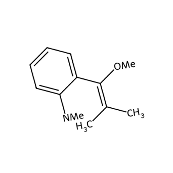 CNc1ccccc1C(OC)=C(C)C